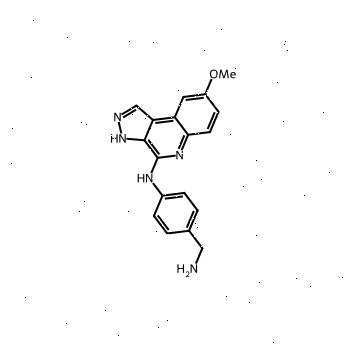 COc1ccc2nc(Nc3ccc(CN)cc3)c3[nH]ncc3c2c1